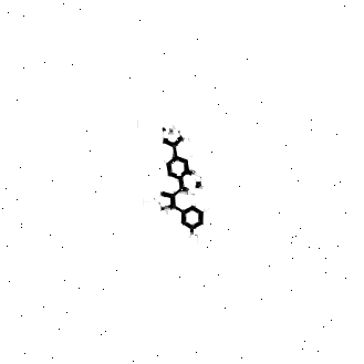 Cn1cc(-c2ccc3c(-c4c[nH]nc4-c4cccc(Cl)c4)ncnc3c2)cn1